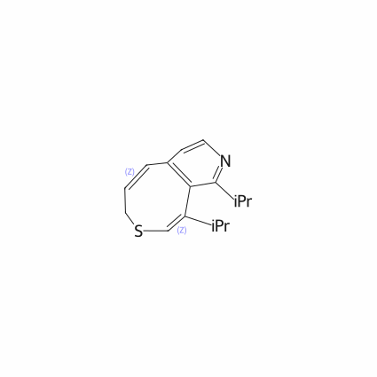 CC(C)/C1=C/SC/C=C\c2ccnc(C(C)C)c21